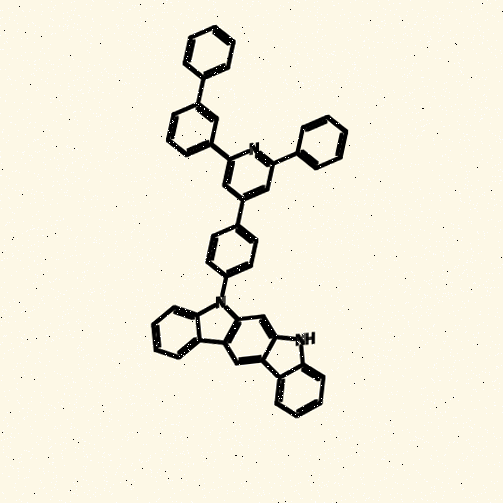 c1ccc(-c2cccc(-c3cc(-c4ccc(-n5c6ccccc6c6cc7c(cc65)[nH]c5ccccc57)cc4)cc(-c4ccccc4)n3)c2)cc1